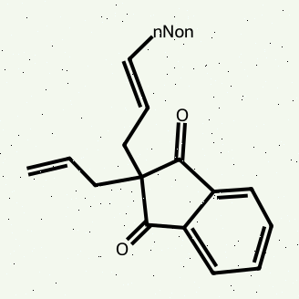 C=CCC1(C/C=C/CCCCCCCCC)C(=O)c2ccccc2C1=O